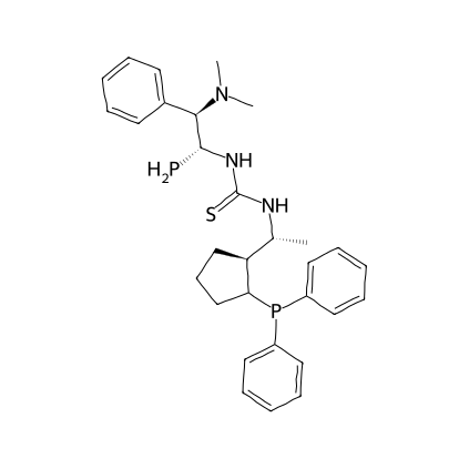 C[C@@H](NC(=S)N[C@H](P)[C@@H](c1ccccc1)N(C)C)[C@@H]1CCCC1P(c1ccccc1)c1ccccc1